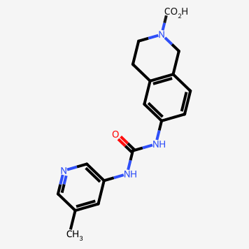 Cc1cncc(NC(=O)Nc2ccc3c(c2)CCN(C(=O)O)C3)c1